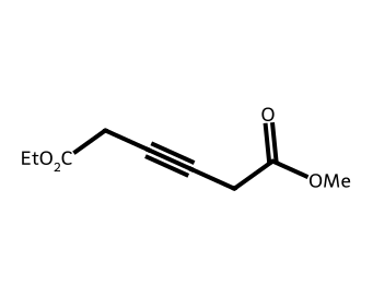 CCOC(=O)CC#CCC(=O)OC